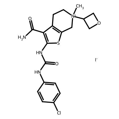 C[N+]1(C2COC2)CCc2c(sc(NC(=O)Nc3ccc(Cl)cc3)c2C(N)=O)C1.[I-]